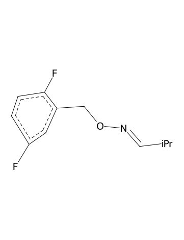 CC(C)C=NOCc1cc(F)ccc1F